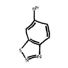 CCCc1ccc2nnsc2c1